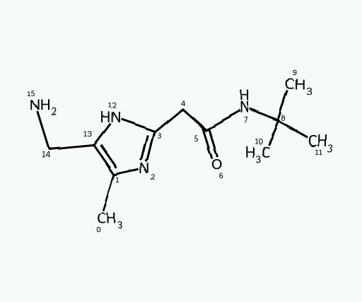 Cc1nc(CC(=O)NC(C)(C)C)[nH]c1CN